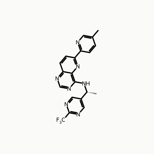 Cc1ccc(-c2ccc3ncnc(N[C@H](C)c4cnc(C(F)(F)F)nc4)c3n2)nc1